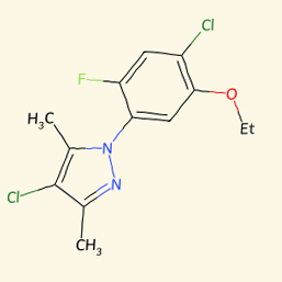 CCOc1cc(-n2nc(C)c(Cl)c2C)c(F)cc1Cl